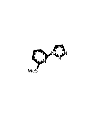 CSc1cccc(-n2ccnn2)n1